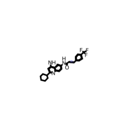 Nc1cc(C2CCCCC2)nc2ccc(NC(=O)/C=C/c3ccc(C(F)(F)F)cc3)cc12